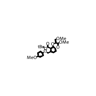 COC=C(Oc1cccc(COc2ccc(OC)cc2)c1C(=O)OC(C)(C)C)C(=O)OC